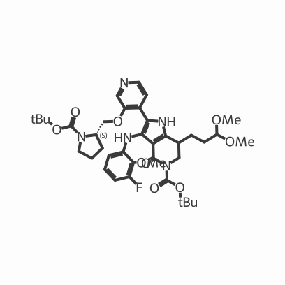 COc1c(F)cccc1Nc1c(-c2ccncc2OC[C@@H]2CCCN2C(=O)OC(C)(C)C)[nH]c2c1C(=O)N(C(=O)OC(C)(C)C)CC2CCC(OC)OC